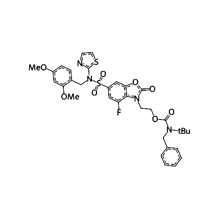 COc1ccc(CN(c2nccs2)S(=O)(=O)c2cc(F)c3c(c2)oc(=O)n3CCOC(=O)N(Cc2ccccc2)C(C)(C)C)c(OC)c1